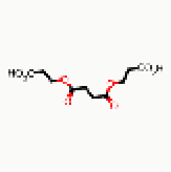 O=C(O)CCOC(=O)CCC(=O)OCCC(=O)O